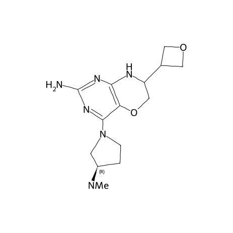 CN[C@@H]1CCN(c2nc(N)nc3c2OCC(C2COC2)N3)C1